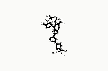 Cc1cc2nc(-c3ccnc(-c4ccc5c(=O)n(C)n(C)c5c4)c3)sc2c(-c2ccc(Cl)cc2)c1C(OC(C)(C)C)C(=O)O